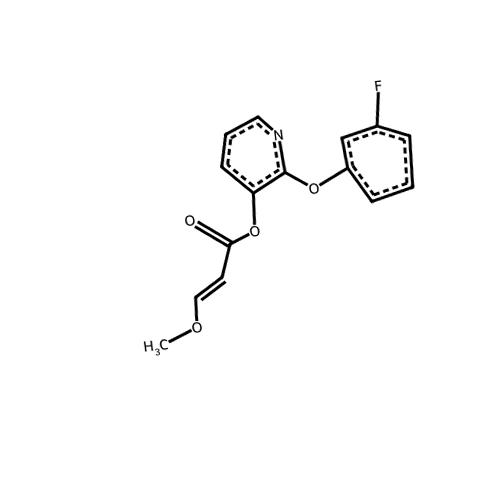 COC=CC(=O)Oc1cccnc1Oc1cccc(F)c1